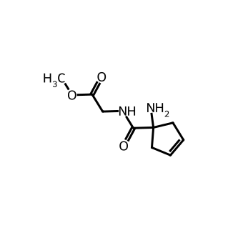 COC(=O)CNC(=O)C1(N)CC=CC1